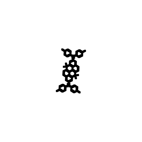 Cc1ccc(N(c2ccc(C)cc2)c2cc3c4c5c(ccc4c2)C(C)(C)c2cc(N(c4ccc(C)cc4)c4ccc(C)cc4)cc4ccc(c-5c24)C3(C)C)cc1